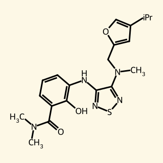 CC(C)c1coc(CN(C)c2nsnc2Nc2cccc(C(=O)N(C)C)c2O)c1